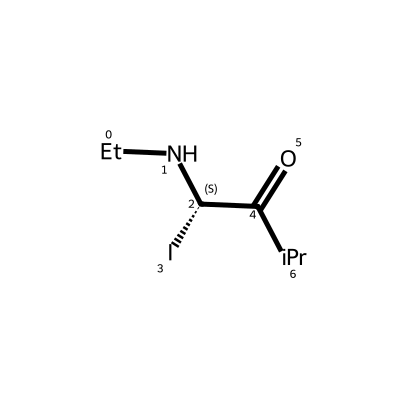 CCN[C@@H](I)C(=O)C(C)C